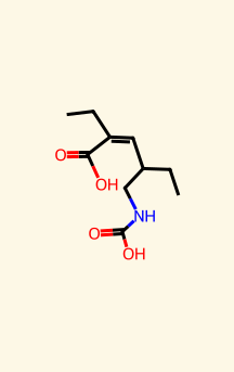 CCC(=CC(CC)CNC(=O)O)C(=O)O